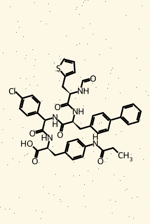 CCC(=O)Nc1ccc(C[C@H](NC(=O)C(NC(=O)[C@H](Cc2ccc(-c3ccccc3)cc2)NC(=O)[C@@H](Cc2cccs2)NC=O)c2ccc(Cl)cc2)C(=O)O)cc1